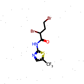 O=C(Nc1ncc(C(F)(F)F)s1)C(Br)CCBr